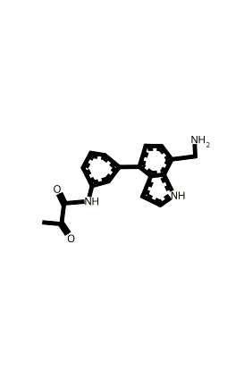 CC(=O)C(=O)Nc1cccc(-c2ccc(CN)c3[nH]ccc23)c1